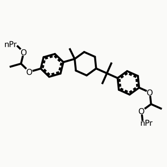 CCCOC(C)Oc1ccc(C2(C)CCC(C(C)(C)c3ccc(OC(C)OCCC)cc3)CC2)cc1